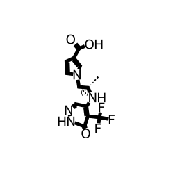 C[C@@H](Cn1ccc(C(=O)O)c1)Nc1cn[nH]c(=O)c1C(F)(F)F